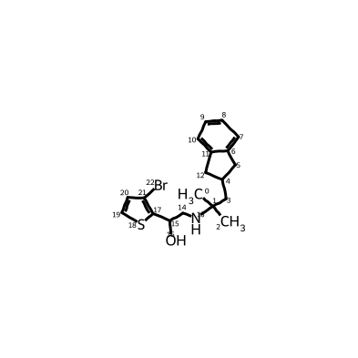 CC(C)(CC1Cc2ccccc2C1)NCC(O)c1sccc1Br